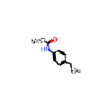 COC(=O)Nc1ccc(CC(C)(C)C)cc1